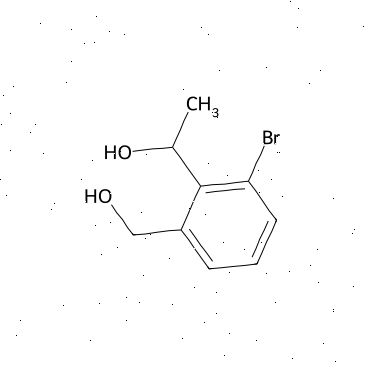 CC(O)c1c(Br)cccc1CO